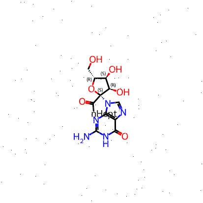 CCCCCCCC(=O)[C@@]1(n2cnc3c(=O)[nH]c(N)nc32)O[C@H](CO)[C@@H](O)[C@H]1O